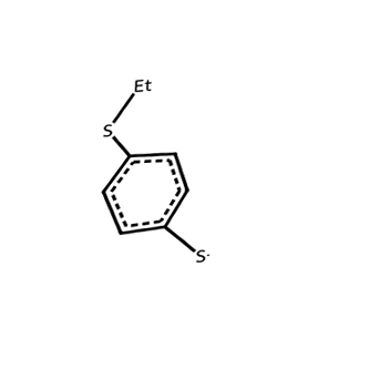 CCSc1ccc([S])cc1